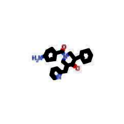 Nc1ccc(C(=O)N2CC(=Cc3ccccn3)C(=O)C(c3ccccc3)C2)cc1